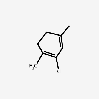 CC1=CC(Cl)=C(C(F)(F)F)CC1